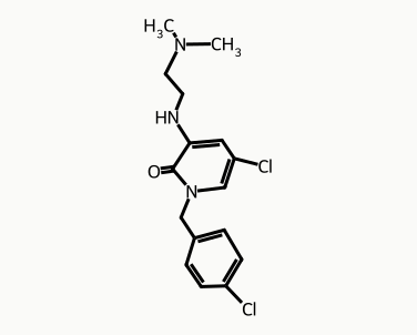 CN(C)CCNc1cc(Cl)cn(Cc2ccc(Cl)cc2)c1=O